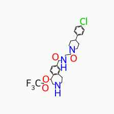 O=C(NCC(=O)N1CCC(c2ccc(Cl)cc2)CC1)c1ccc2c(c1)CCNCC2OC(=O)C(F)(F)F